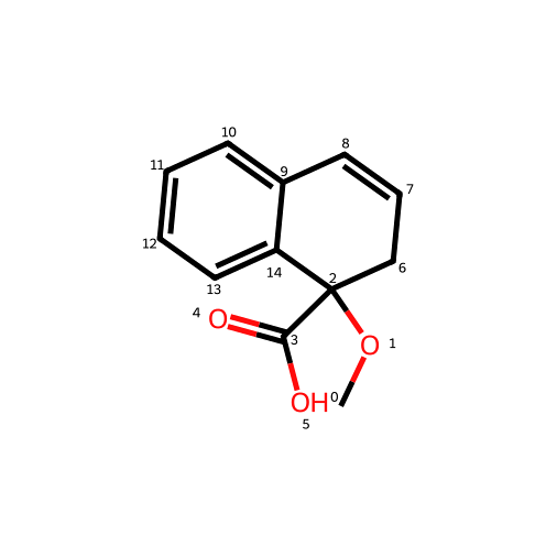 COC1(C(=O)O)CC=Cc2ccccc21